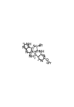 CC(C)Oc1ncc(F)c(NC(=O)[C@@H](Sc2nc(N)nc3nc[nH]c23)C(C)C)n1